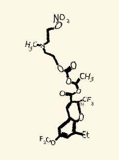 CCc1cc(OC(F)(F)F)cc2c1O[C@H](C(F)(F)F)C(C(=O)OC(C)OC(=O)OCCN(C)CCO[N+](=O)[O-])=C2